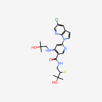 CC(C)(O)CNc1cc(-n2ccc3cc(Cl)cnc32)ncc1C(=O)NCC(F)C(C)(C)O